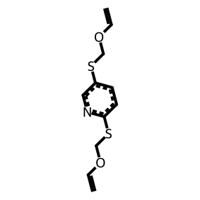 C=COCSc1ccc(SCOC=C)nc1